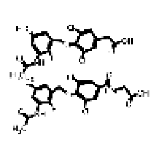 CC(=O)Nc1cc(C)cc(COc2c(Cl)cc(C(=O)NCC(=O)O)cc2Cl)c1F.CC(=O)Nc1cc(C)cc(COc2c(Cl)cc(CC(=O)O)cc2Cl)c1F